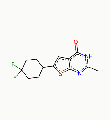 Cc1nc2sc(C3CCC(F)(F)CC3)cc2c(=O)[nH]1